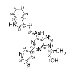 C[C@@H](CO)n1cnc2c([AsH]CCc3c[nH]c4ccccc34)nc(-c3cncc(F)c3)nc21